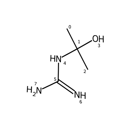 CC(C)(O)NC(=N)N